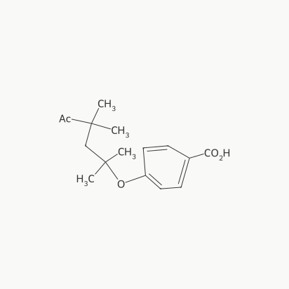 CC(=O)C(C)(C)CC(C)(C)Oc1ccc(C(=O)O)cc1